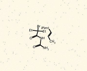 C/C=C/C(C)CCC.CCC(Br)(CC)C(=O)NC(N)=O